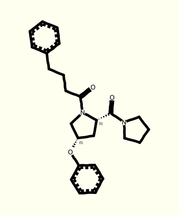 O=C([C@@H]1C[C@H](Oc2ccccc2)CN1C(=O)CCCc1ccccc1)N1CCCC1